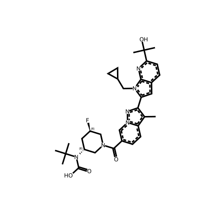 Cc1c(-c2cc3ccc(C(C)(C)O)nc3n2CC2CC2)nn2cc(C(=O)N3C[C@H](F)C[C@@H](N(C(=O)O)C(C)(C)C)C3)ccc12